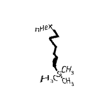 CCCCCCCCCC/C=C/[Si](C)(C)C